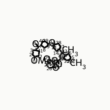 COc1ccc(C(=O)c2ccc(Oc3ccc(C(C)(CCC(=O)ON4C(=O)CCC4=O)c4ccc(C)cc4)cc3)cc2)cc1